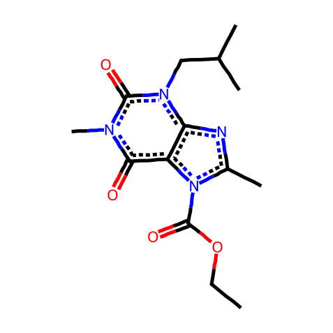 CCOC(=O)n1c(C)nc2c1c(=O)n(C)c(=O)n2CC(C)C